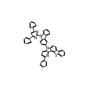 c1ccc(-c2cc(-c3ccccc3)nc(-n3c4ccccc4c4cc(-n5c6ccc(-c7ccccc7)nc6c6c7sc8ccccc8c7ccc65)ccc43)n2)cc1